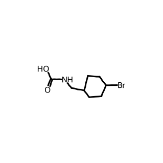 O=C(O)NCC1CCC(Br)CC1